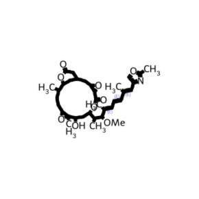 COC(/C(C)=C/C=C/C(C)=C/c1coc(C)n1)C(C)C1CC(O)C2(C)OC2CCC(C)C2CC(CC(=O)O2)CC2OC2C(=O)O1